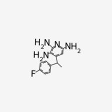 CC(c1ccc(F)cc1)c1cc(N)nc(N)c1N